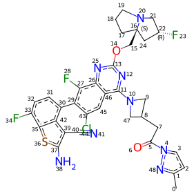 Cc1ccn(C(=O)CC2CN(c3nc(OC[C@@]45CCCN4C[C@H](F)C5)nc4c(F)c(-c5ccc(F)c6sc(N)c(C#N)c56)c(Cl)cc34)C2)n1